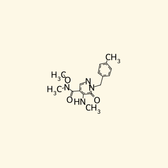 CNc1c(C(=O)N(C)OC)cnn(Cc2ccc(C)cc2)c1=O